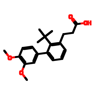 COc1ccc(-c2cccc(CCC(=O)O)c2C(C)(C)C)cc1OC